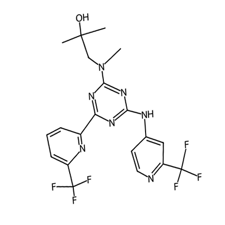 CN(CC(C)(C)O)c1nc(Nc2ccnc(C(F)(F)F)c2)nc(-c2cccc(C(F)(F)F)n2)n1